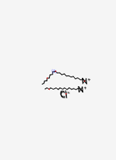 CCCCCCCC/C=C\CCCCCCCCCCCC[N+](C)(C)C.CCCCCCCCCCCCCCCC[N+](C)(C)C.[Cl-].[Cl-]